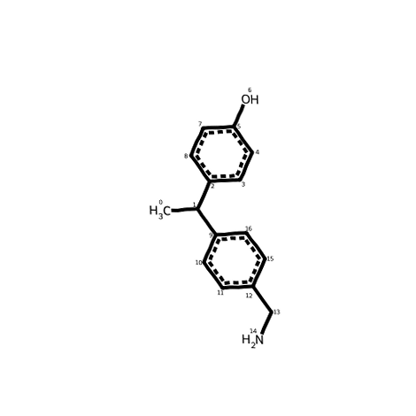 CC(c1ccc(O)cc1)c1ccc(CN)cc1